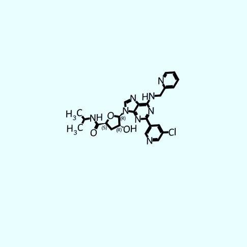 CC(C)NC(=O)[C@@H]1C[C@@H](O)[C@H](n2cnc3c(NCc4ccccn4)nc(-c4cncc(Cl)c4)nc32)O1